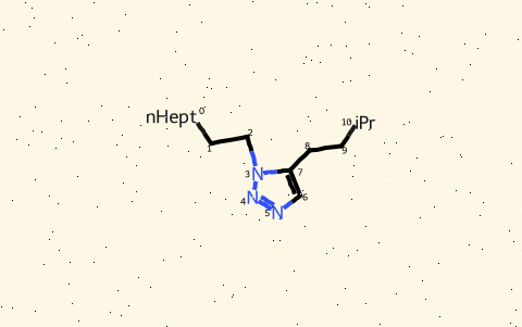 CCCCCCCCCn1nncc1CCC(C)C